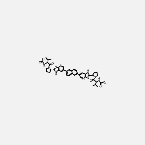 COC(=O)N[C@H](C(=O)N1CCCC1c1nc2ncc(-c3ccc4cc(-c5cnc6nc([C@H]7CCCN7C(=O)[C@H](C(C)C)N(C)C(=O)O)[nH]c6c5)ccc4c3)cc2[nH]1)C(C)C